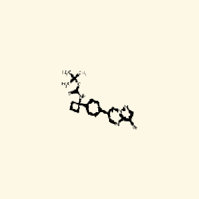 CC(C)(C)OC(=O)NC1(c2ccc(-c3cnc4c(Br)cnn4c3)cc2)CCC1